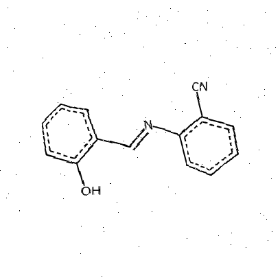 N#Cc1ccccc1N=Cc1ccccc1O